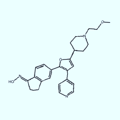 COCCN1CCC(c2cc(-c3ccncc3)c(-c3ccc4c(c3)CC/C4=N\O)o2)CC1